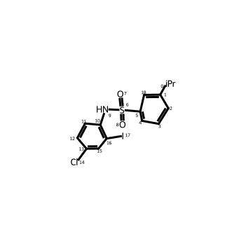 CC(C)c1cccc(S(=O)(=O)Nc2ccc(Cl)cc2I)c1